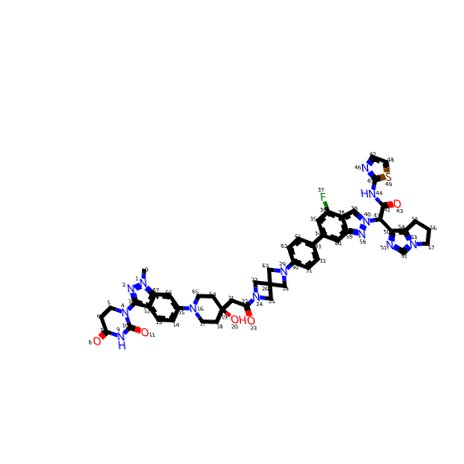 Cn1nc(N2CCC(=O)NC2=O)c2ccc(N3CCC(O)(CC(=O)N4CC5(C4)CN(c4ccc(-c6cc(F)c7cn(C(C(=O)Nc8nccs8)c8ncn9c8CCC9)nc7c6)cc4)C5)CC3)cc21